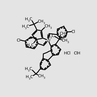 CC1=[C]([Zr](=[CH]c2ccc(Cl)cc2)(=[CH]c2ccc(Cl)cc2)[c]2c(C(C)(C)C)ccc3c2Cc2cc(C(C)(C)C)ccc2-3)C(C)C=C1C(C)(C)C.Cl.Cl